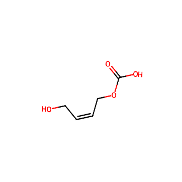 O=C(O)OC/C=C\CO